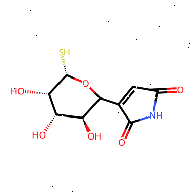 O=C1C=C(C2O[C@@H](S)[C@@H](O)[C@@H](O)[C@@H]2O)C(=O)N1